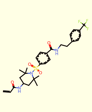 C=CC(=O)NC1CC(C)(C)N(S(=O)(=O)c2ccc(C(=O)NCCc3ccc(C(F)(F)F)cc3)cc2)C(C)(C)C1